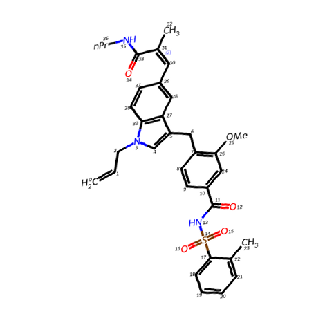 C=CCn1cc(Cc2ccc(C(=O)NS(=O)(=O)c3ccccc3C)cc2OC)c2cc(/C=C(/C)C(=O)NCCC)ccc21